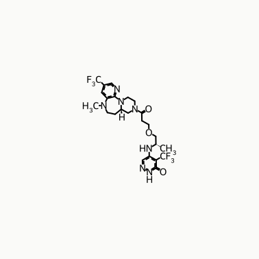 C[C@@H](COCCC(=O)N1CCN2c3ncc(C(F)(F)F)cc3N(C)CC[C@H]2C1)Nc1cn[nH]c(=O)c1C(F)(F)F